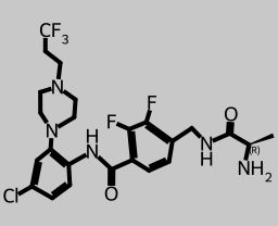 C[C@@H](N)C(=O)NCc1ccc(C(=O)Nc2ccc(Cl)cc2N2CCN(CCC(F)(F)F)CC2)c(F)c1F